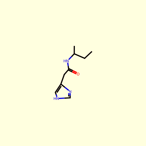 CCC(C)NC(=O)Cc1c[nH]cn1